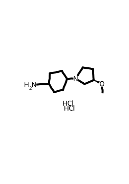 CO[C@@H]1CCN(C2CCC(N)CC2)C1.Cl.Cl